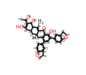 CC1=C2C(=O)c3c(O)c(-c4ccc5c(c4)CCO5)cc(-c4ccc5c(c4)CCO5)c3C[C@H]2CC2CC(O)=C(C(=O)I)C(=O)C12